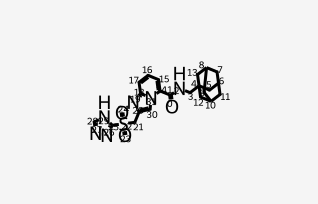 O=C(NCC12CC3CC(CC(C3)C1)C2)c1cccc2nc(CS(=O)(=O)c3nnc[nH]3)cn12